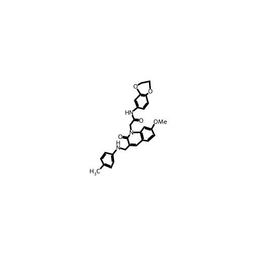 COc1ccc2cc(CNc3ccc(C)cc3)c(=O)n(CC(=O)Nc3ccc4c(c3)OCCO4)c2c1